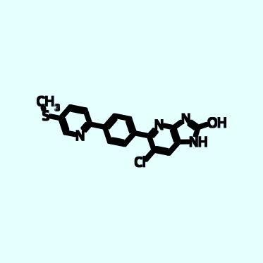 CSc1ccc(-c2ccc(-c3nc4nc(O)[nH]c4cc3Cl)cc2)nc1